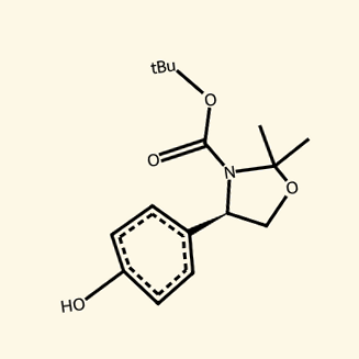 CC(C)(C)OC(=O)N1[C@H](c2ccc(O)cc2)COC1(C)C